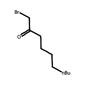 CCCCCCCCC(=O)CBr